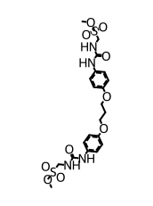 COS(=O)(=O)CNC(=O)Nc1ccc(OCCCOc2ccc(NC(=O)NCS(=O)(=O)OC)cc2)cc1